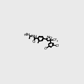 CCCCC(C)NC(=O)c1ccc(C2=NOC(c3cc(Cl)cc(Cl)c3)(C(F)(F)F)C2)cc1C